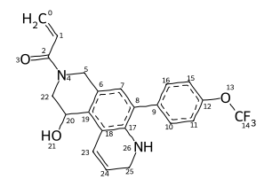 C=CC(=O)N1Cc2cc(-c3ccc(OC(F)(F)F)cc3)c3c(c2C(O)C1)C=CCN3